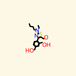 CCCCN(CC)c1nc(-c2ccc(CO)cc2CO)c(C=O)s1